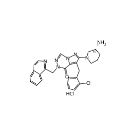 Cl.N[C@@H]1CCCN(c2nn3cnn(Cc4nccc5ccccc45)c(=O)c3c2Cc2ccccc2Cl)C1